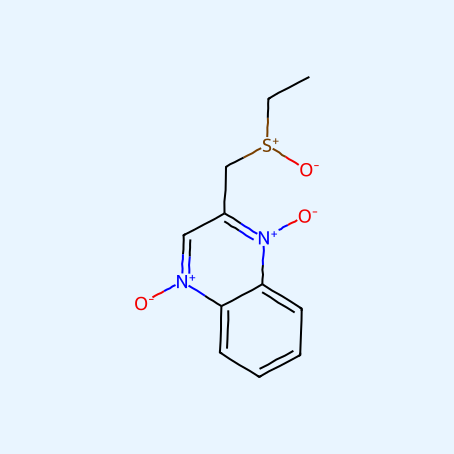 CC[S+]([O-])Cc1c[n+]([O-])c2ccccc2[n+]1[O-]